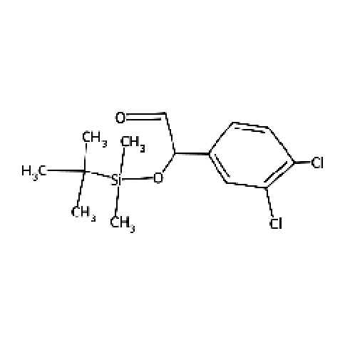 CC(C)(C)[Si](C)(C)OC(C=O)c1ccc(Cl)c(Cl)c1